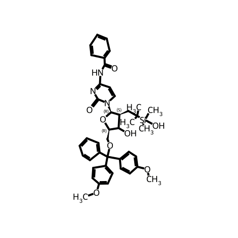 COc1ccc(C(OC[C@H]2O[C@@H](n3ccc(NC(=O)c4ccccc4)nc3=O)[C@@H](CC(C)(C)[Si](C)(C)O)C2O)(c2ccccc2)c2ccc(OC)cc2)cc1